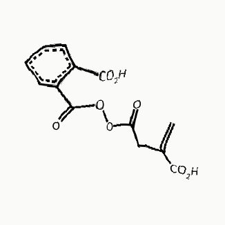 C=C(CC(=O)OOC(=O)c1ccccc1C(=O)O)C(=O)O